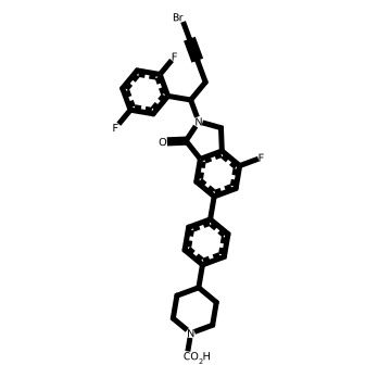 O=C(O)N1CCC(c2ccc(-c3cc(F)c4c(c3)C(=O)N(C(CC#CBr)c3cc(F)ccc3F)C4)cc2)CC1